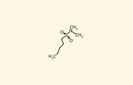 [CH2]N(C)S(=O)(=O)CCCCC